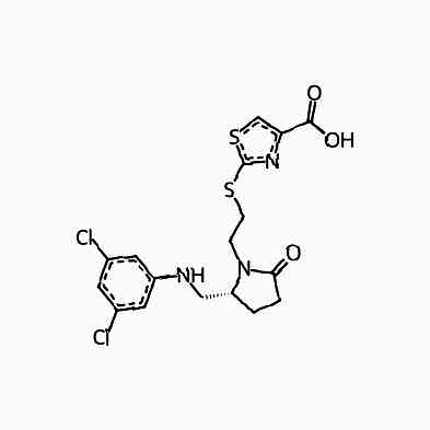 O=C(O)c1csc(SCCN2C(=O)CC[C@@H]2CNc2cc(Cl)cc(Cl)c2)n1